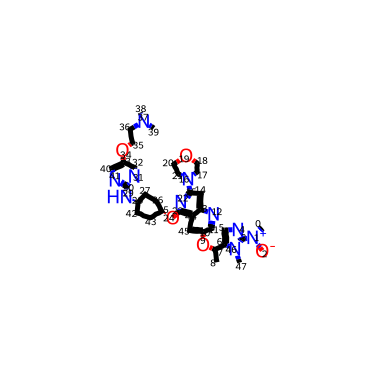 C=[N+]([O-])c1ncc(C(C)Oc2cnc3cc(N4CCOCC4)nc(O[C@H]4CC[C@@H](Nc5ncc(OCCN(C)C)cn5)CC4)c3c2)n1C